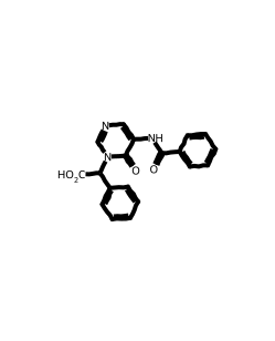 O=C(Nc1cncn(C(C(=O)O)c2ccccc2)c1=O)c1ccccc1